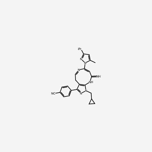 Cc1cc(C(C)C)nn1C1=C/C(=N)Nc2c(c(-c3ccc(C#N)cc3)nn2CC2CC2)C/C=N\1